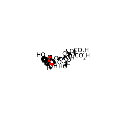 C[C@H](O)C(=O)O[C@@H](CC(=O)OC1=CC[C@@]2(O)[C@H]3Cc4ccc(O)c5c4C2(CCN3C)[C@H]1O5)C(O)O[C@@H](C)C(=O)O[C@@H](CC(=O)O)C(=O)O